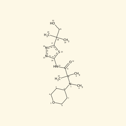 CN(C1CCOCC1)C(C)(C)C(=O)Nc1nnc(C(C)(C)CO)s1